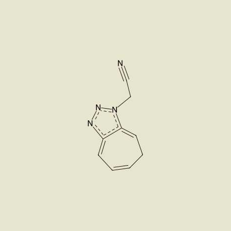 N#CCn1nnc2c1=CCC=CC=2